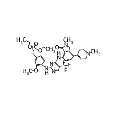 CCOP(=O)(Cc1ccc(Nc2ncc(C(F)(F)F)c(Nc3ccc(C4=CCN(C)CC4)c4c3C(=O)N(C)C4)n2)c(OC)c1)OCC